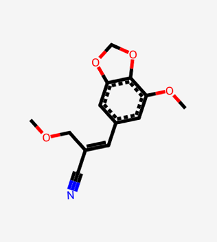 COCC(C#N)=Cc1cc(OC)c2c(c1)OCO2